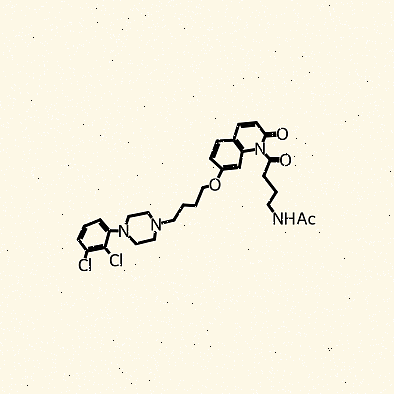 CC(=O)NCCCC(=O)n1c(=O)ccc2ccc(OCCCCN3CCN(c4cccc(Cl)c4Cl)CC3)cc21